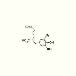 CCCCCCCCCCCCCC(Cc1cc(C(C)C)c(O)c(C(C)(C)C)c1)C(=O)O